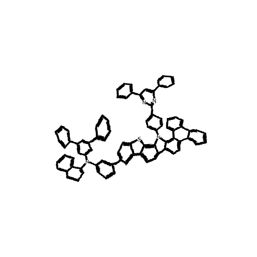 c1ccc(-c2cc(-c3ccccc3)cc(N(c3cccc(-c4ccc5sc6c(ccc7c8ccc9c%10ccccc%10c%10ccccc%10c9c8n(-c8ccc(-c9nc(-c%10ccccc%10)cc(-c%10ccccc%10)n9)cc8)c76)c5c4)c3)c3cccc4ccccc34)c2)cc1